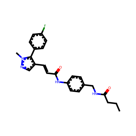 CCCC(=O)NCc1ccc(NC(=O)/C=C/c2cnn(C)c2-c2ccc(F)cc2)cc1